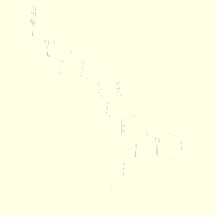 COCCOC(=O)c1cc(Nc2nccc(-c3ccc(C(=O)NCC#N)cc3)n2)ccc1N1CCOCC1